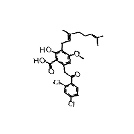 COc1cc(CC(=O)c2ccc(Cl)cc2Cl)c(C(=O)O)c(O)c1C/C=C(\C)CCC=C(C)C